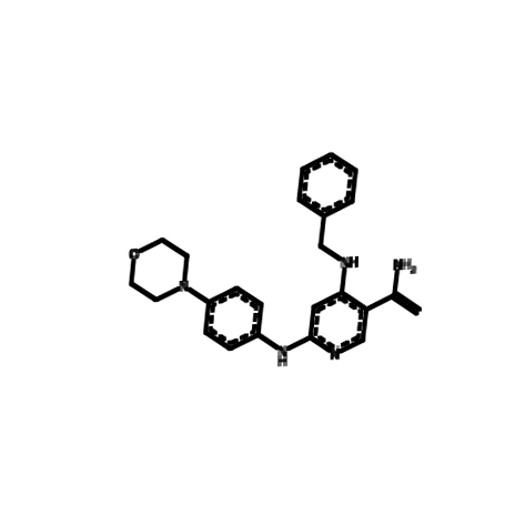 C=C(N)c1cnc(Nc2ccc(N3CCOCC3)cc2)cc1NCc1ccccc1